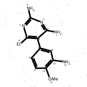 CCc1nc(N)nc(N)c1-c1ccc(OC)c(N)c1